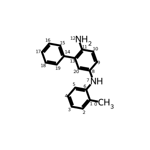 Cc1ccccc1Nc1ccc(N)c(-c2ccccc2)c1